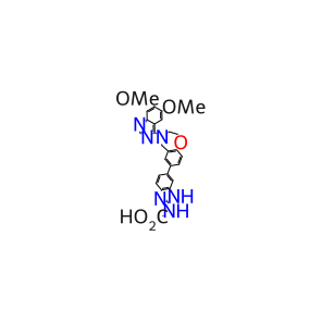 COc1cc2ncnc(N3CCOc4ccc(-c5ccc6nc(NC(=O)O)[nH]c6c5)cc4C3)c2cc1OC